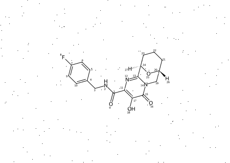 O=C(NCc1ccc(F)cc1)c1nc2n(c(=O)c1O)C[C@H]1CCC[C@H]2O1